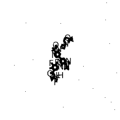 Cc1c(C(=O)NC2(C(F)F)CC2)cc(Nc2nc(-c3cnc4c(c3)N([C@H]3C[C@@](C)(N5CCOC6(CC6)C5)C3)C(=O)C4(C)C)cc3ncn(C(C)C)c23)c(F)c1F